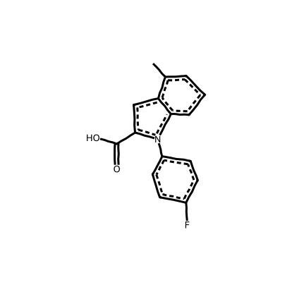 Cc1cccc2c1cc(C(=O)O)n2-c1ccc(F)cc1